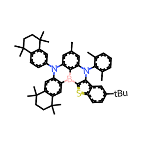 Cc1cc2c3c(c1)N(c1c(C)cccc1C)c1c(sc4ccc(C(C)(C)C)cc14)B3c1cc3c(cc1N2c1ccc2c(c1)C(C)(C)CCC2(C)C)C(C)(C)CCC3(C)C